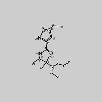 CCCN(CC)C(C)(C)C(C)NC(=O)c1cc(CC)on1